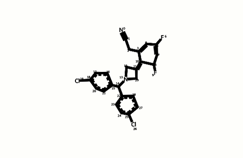 N#CCC1=CC(F)=CC(F)C1=C1CN(C(c2ccc(Cl)cc2)c2ccc(Cl)cc2)C1